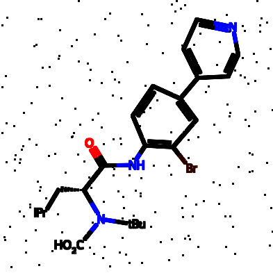 CC(C)C[C@H](C(=O)Nc1ccc(-c2ccncc2)cc1Br)N(C(=O)O)C(C)(C)C